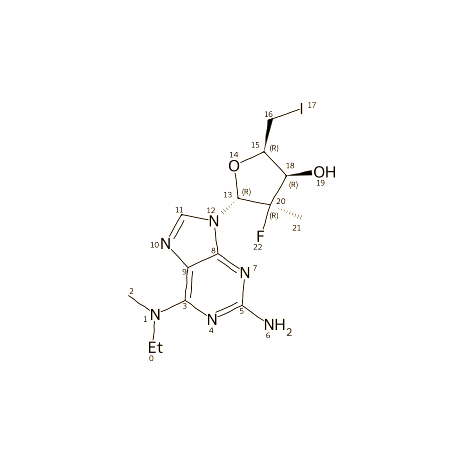 CCN(C)c1nc(N)nc2c1ncn2[C@@H]1O[C@@H](CI)[C@@H](O)[C@@]1(C)F